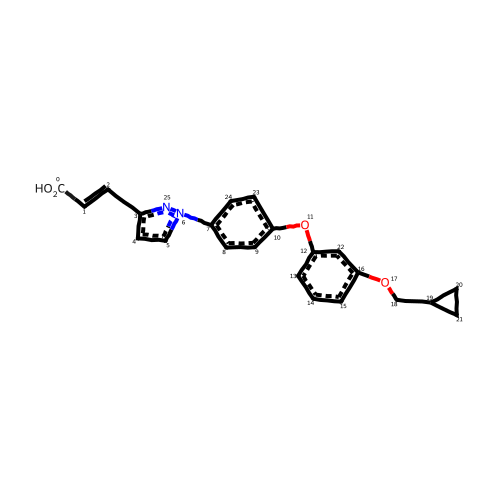 O=C(O)/C=C/c1ccn(-c2ccc(Oc3cccc(OCC4CC4)c3)cc2)n1